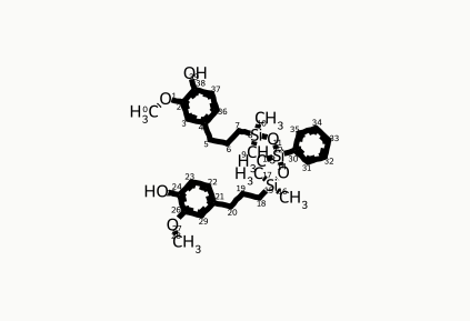 COc1cc(CCC[Si](C)(C)O[Si](C)(O[Si](C)(C)CCCc2ccc(O)c(OC)c2)c2ccccc2)ccc1O